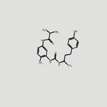 Cc1ccc(NC(=O)C(C)C)cc1NC(=O)NC(C)CCc1ccc(O)cc1